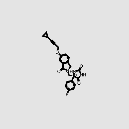 O=C1NC(=O)[C@](CN2Cc3ccc(OCC#CC4CC4)cc3C2=O)(c2ccc(F)cc2)N1